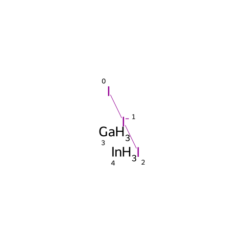 I[I-]I.[GaH3].[InH3]